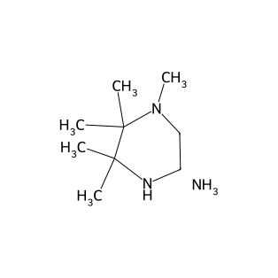 CN1CCNC(C)(C)C1(C)C.N